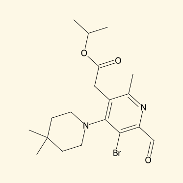 Cc1nc(C=O)c(Br)c(N2CCC(C)(C)CC2)c1CC(=O)OC(C)C